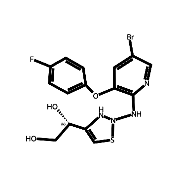 OC[C@H](O)C1=CSN(Nc2ncc(Br)cc2Oc2ccc(F)cc2)N1